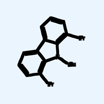 CC(C)c1cccc2c3cccc(C(C)C)c3n(C(C)(C)C)c12